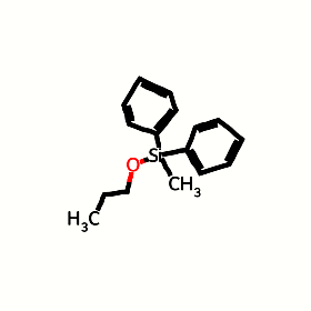 CCCO[Si](C)(c1ccccc1)c1ccccc1